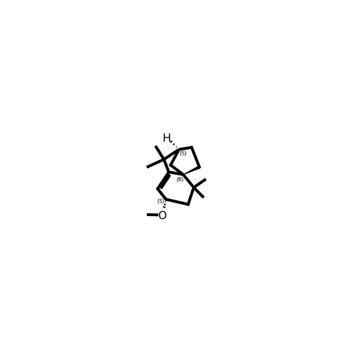 CO[C@@H]1C=C2C(C)(C)[C@H]3CC[C@@]2(C3)C(C)(C)C1